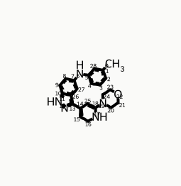 Cc1cccc(Nc2ccc3[nH]nc(C4=CCNC(N5CCOCC5)=C4)c3c2)c1